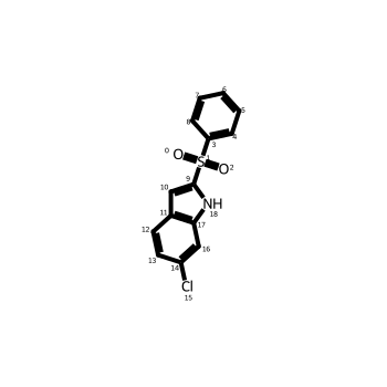 O=S(=O)(c1ccccc1)c1cc2ccc(Cl)cc2[nH]1